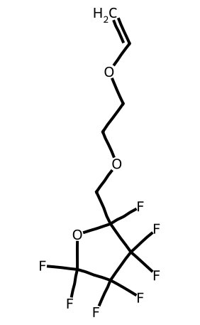 C=COCCOCC1(F)OC(F)(F)C(F)(F)C1(F)F